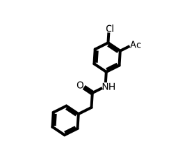 CC(=O)c1cc(NC(=O)Cc2ccccc2)ccc1Cl